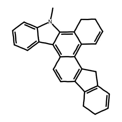 Cn1c2ccccc2c2c3ccc4c(c3c3c(c21)CCC=C3)CC1=C4CCC=C1